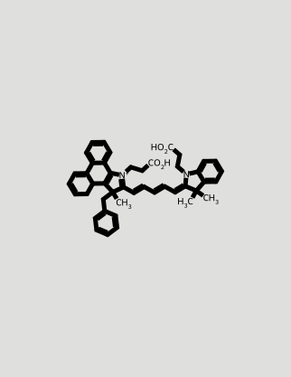 CC1(Cc2ccccc2)C2=C(c3ccccc3C3=CC=CCC32)[N+](CCC(=O)O)=C1/C=C/C=C/C=C1\N(CCC(=O)O)c2ccccc2C1(C)C